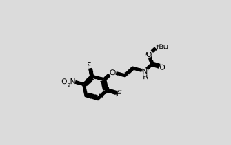 CC(C)(C)OC(=O)NCCOc1c(F)ccc([N+](=O)[O-])c1F